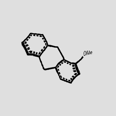 COc1cccc2c1Cc1ccccc1C2